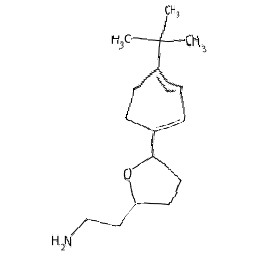 CC(C)(C)C1=CC=C(C2CCC(CCN)O2)CC1